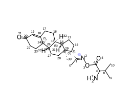 C/C(=N\OC(=O)C(N)C(C)C)[C@H]1CC[C@H]2[C@@H]3CCC4=CC(=O)CC[C@]4(C)[C@H]3CC[C@]12C